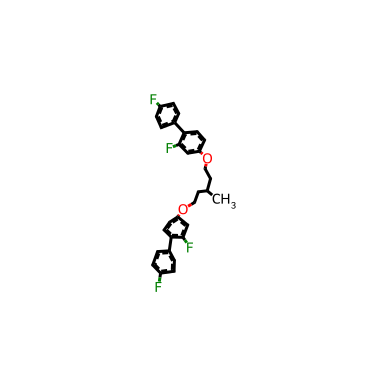 CC(CCOc1ccc(-c2ccc(F)cc2)c(F)c1)CCOc1ccc(-c2ccc(F)cc2)c(F)c1